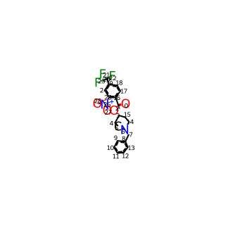 O=C(OC1CCN(Cc2ccccc2)CC1)c1ccc(C(F)(F)F)cc1[N+](=O)[O-]